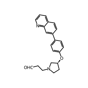 O=CCCN1CC[C@H](Oc2ccc(-c3ccc4cccnc4c3)cc2)C1